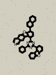 c1ccc(-c2nc(-c3cccc4oc5ccccc5c34)nc(-c3ccc(-c4ccc5ccccc5c4)c4oc5cc6ccncc6cc5c34)n2)cc1